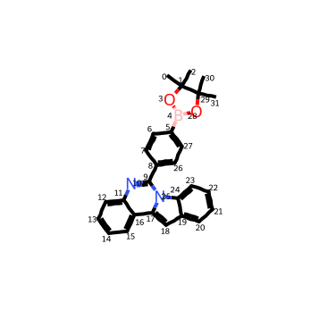 CC1(C)OB(c2ccc(-c3nc4ccccc4c4cc5ccccc5n34)cc2)OC1(C)C